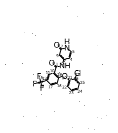 O=C(Nc1cc[nH]c(=O)c1)c1cc(C(F)(F)F)ccc1Oc1ccccc1Cl